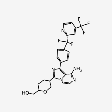 Nc1nccn2c(C3CCC(CO)OC3)nc(-c3ccc(C(F)(F)c4cc(C(F)(F)F)ccn4)cc3)c12